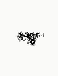 CCC(NC(=O)c1cn(-c2c(F)cccc2F)c2nc(N3CCNC3=O)ccc2c1=O)C(F)(F)F